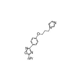 CCCc1nc(-c2ccc(OCCCn3ccnc3)cc2)no1